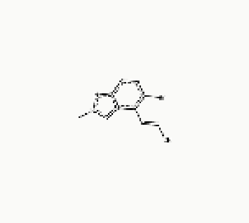 Cn1cc2c(C=CC#N)c(Br)ccc2n1